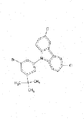 CC(C)(C)c1cc(Br)cc(-n2c3ccc(Cl)cc3c3cc(Cl)ccc32)c1